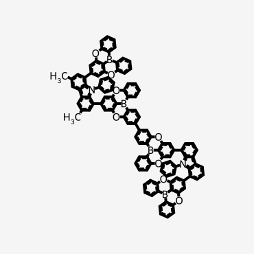 Cc1cc(-c2cc3c4c(c2)Oc2ccccc2B4c2ccccc2O3)c2c(c1)c1cc(C)cc(-c3cc4c5c(c3)Oc3cc(-c6ccc7c(c6)Oc6cc(-c8cccc9c%10cccc(-c%11cc%12c%13c(c%11)Oc%11ccccc%11B%13c%11ccccc%11O%12)c%10n(-c%10ccccc%10)c89)cc8c6B7c6ccccc6O8)ccc3B5c3ccccc3O4)c1n2-c1ccccc1